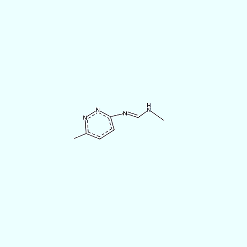 CN/C=N/c1ccc(C)nn1